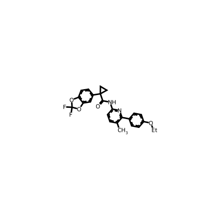 CCOc1ccc(-c2nc(NC(=O)C3(c4ccc5c(c4)OC(F)(F)O5)CC3)ccc2C)cc1